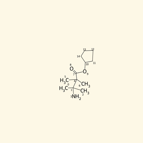 CC(C)(N)C(C)(C)C(=O)OC1CCCC1